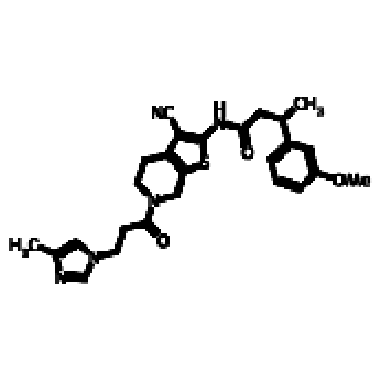 COc1cccc(C(C)CC(=O)Nc2sc3c(c2C#N)CCN(C(=O)CCn2cnc(C)c2)C3)c1